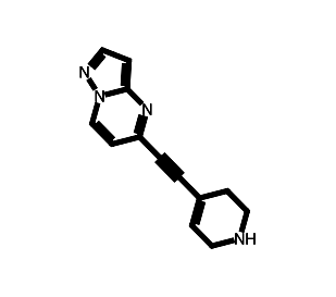 C(#Cc1ccn2nccc2n1)C1=CCNCC1